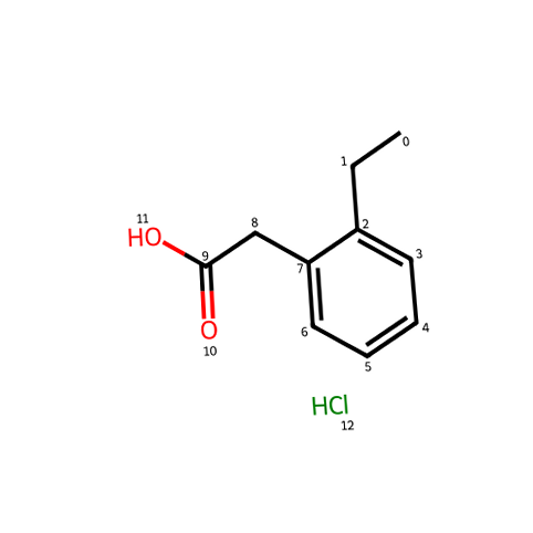 CCc1ccccc1CC(=O)O.Cl